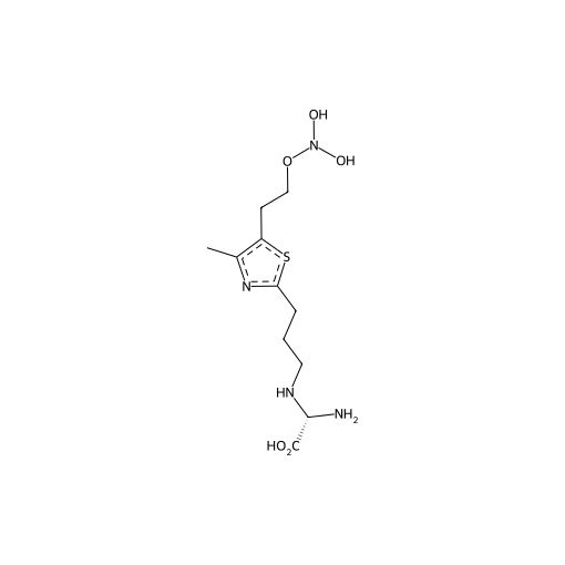 Cc1nc(CCCN[C@H](N)C(=O)O)sc1CCON(O)O